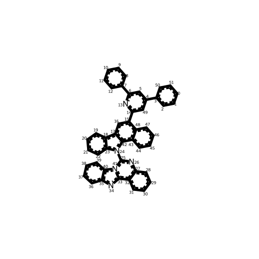 c1ccc(-c2cc(-c3ccccc3)nc(-c3cc4c5ccccc5n(-c5nc6ccccc6c6nc7ccccc7n56)c4c4ccccc34)c2)cc1